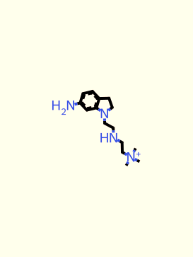 C[N+](C)(C)CCNCCN1CCc2ccc(N)cc21